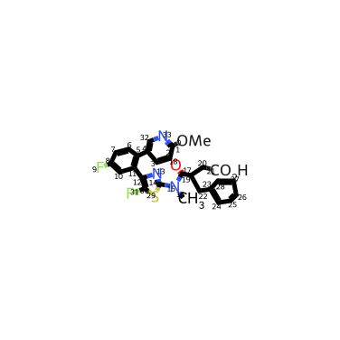 COc1ccc(-c2ccc(F)cc2-c2nc(N(C)C(=O)C(CC(=O)O)Cc3ccccc3)sc2F)cn1